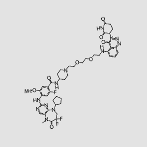 COc1cc(C(=O)NC2CCN(CCOCCOCCNc3cccc4nnn(C5CCC(=O)NC5=O)c(=O)c34)CC2)c(F)cc1Nc1ncc2c(n1)N(C1CCCC1)CC(F)(F)C(=O)N2C